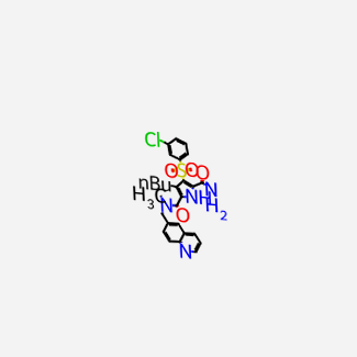 CCCCc1c(C(=O)N(C)Cc2ccc3ncccc3c2)[nH]c(C(N)=O)c1S(=O)(=O)c1cccc(Cl)c1